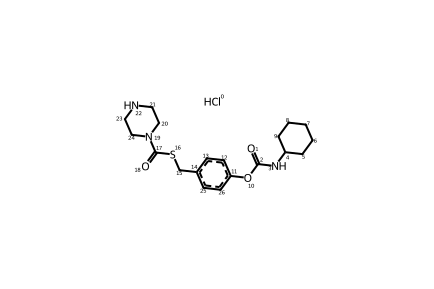 Cl.O=C(NC1CCCCC1)Oc1ccc(CSC(=O)N2CCNCC2)cc1